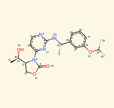 C[C@H](Nc1nccc(N2C(=O)OCC2[C@@H](C)O)n1)c1cccc(OC(F)F)c1